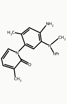 CCCN(C)c1cc(-n2cccc(C)c2=O)c(C)cc1N